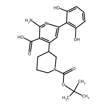 CC(C)(C)OC(=O)N1CCCC(c2cc(-c3c(O)cccc3O)nc(N)c2C(=O)O)C1